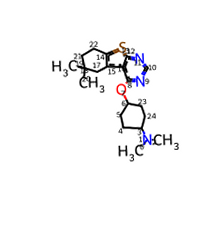 CN(C)C1CCC(Oc2ncnc3sc4c(c23)CC(C)(C)CC4)CC1